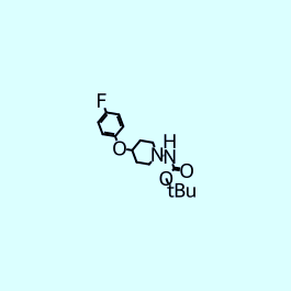 CC(C)(C)OC(=O)NN1CCC(Oc2ccc(F)cc2)CC1